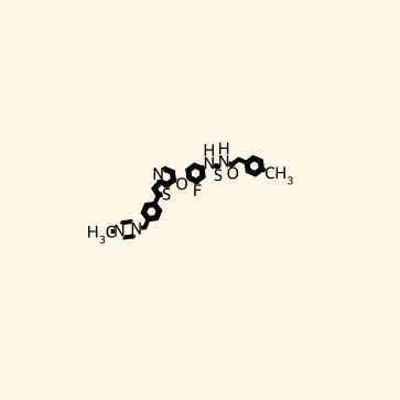 Cc1ccc(CC(=O)NC(=S)Nc2ccc(Oc3ccnc4cc(-c5ccc(CN6CCN(C)CC6)cc5)sc34)c(F)c2)cc1